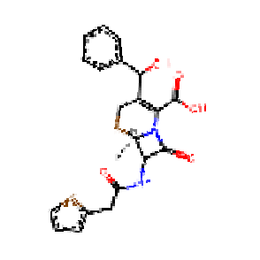 O=C(Cc1cccs1)NC1C(=O)N2C(C(=O)O)=C(C(O)c3ccccc3)CS[C@H]12